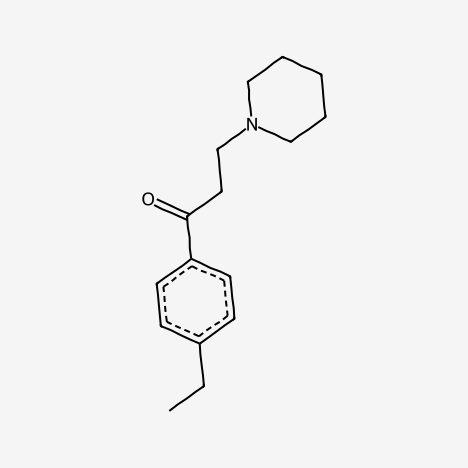 CCc1ccc(C(=O)CCN2CCCCC2)cc1